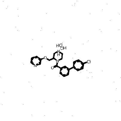 Cl.Cl.O=C(c1cccc(-c2ccc(Cl)cc2)c1)N1CCNCC1COc1cccnc1